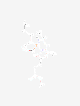 CCCOC(=O)CCC(=O)OP1(OC)=NP(CO)(OCCOC(C)=O)=NP(C)(OC)=N1